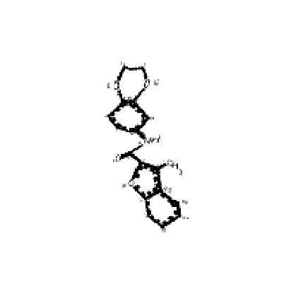 Cc1c(C(=O)Nc2ccc3c(c2)OCCO3)oc2ccccc12